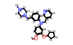 COc1ccc(N(Cc2cccnc2)c2cccc(CN3CCN(C)CC3)c2)cc1OC1CCCC1